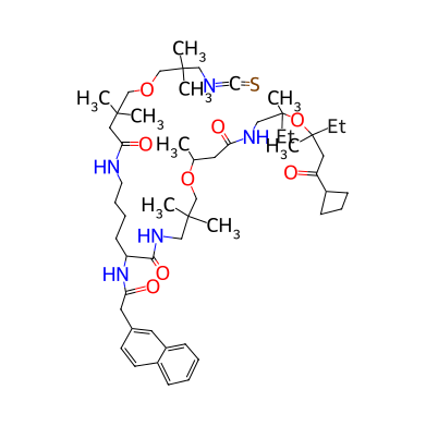 CCC(C)(CNC(=O)CC(C)OCC(C)(C)CNC(=O)C(CCCCNC(=O)CC(C)(C)COCC(C)(C)CN=C=S)NC(=O)Cc1ccc2ccccc2c1)OC(C)(CC)CC(=O)C1CCC1